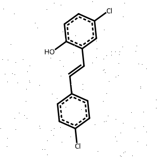 Oc1ccc(Cl)cc1C=Cc1ccc(Cl)cc1